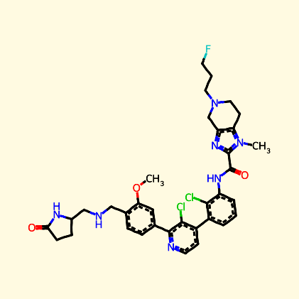 COc1cc(-c2nccc(-c3cccc(NC(=O)c4nc5c(n4C)CCN(CCCF)C5)c3Cl)c2Cl)ccc1CNCC1CCC(=O)N1